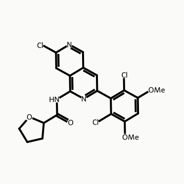 COc1cc(OC)c(Cl)c(-c2cc3cnc(Cl)cc3c(NC(=O)C3CCCO3)n2)c1Cl